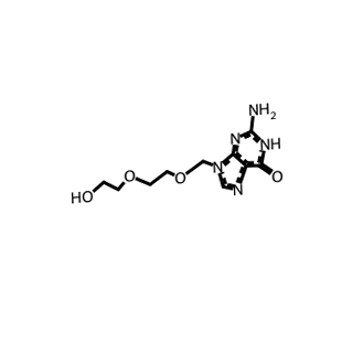 Nc1nc2c(ncn2COCCOCCO)c(=O)[nH]1